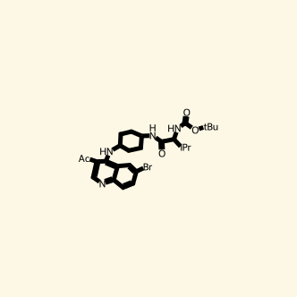 CC(=O)c1cnc2ccc(Br)cc2c1NC1CCC(NC(=O)C(NC(=O)OC(C)(C)C)C(C)C)CC1